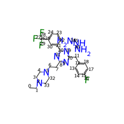 CCN1CCN(CCc2nc(Cc3ccc(F)cc3)nc(-c3cccc(C(F)(F)F)c3)n2)CC1.NNN